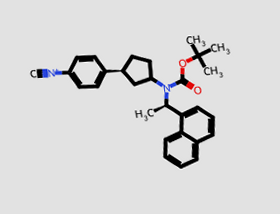 [C-]#[N+]c1ccc([C@H]2CCC(N(C(=O)OC(C)(C)C)[C@H](C)c3cccc4ccccc34)C2)cc1